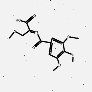 COc1cc(C(=O)/N=C(\CSC)C(=O)O)cc(OC)c1OC